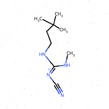 CN/C(=N\C#N)NCCC(C)(C)C